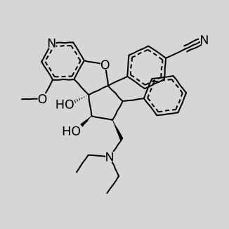 CCN(CC)C[C@@H]1C(c2ccccc2)C2(c3ccc(C#N)cc3)Oc3cncc(OC)c3[C@]2(O)[C@@H]1O